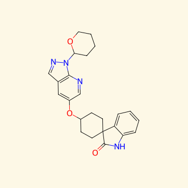 O=C1Nc2ccccc2C12CCC(Oc1cnc3c(cnn3C3CCCCO3)c1)CC2